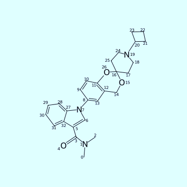 CN(C)C(=O)c1cn(-c2ccc3c(c2)COC2(CCN(C4CCC4)CC2)O3)c2ccccc12